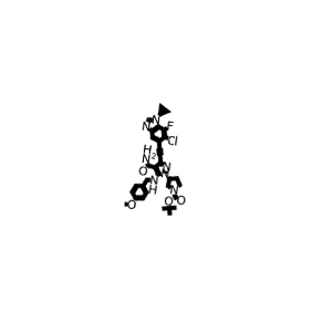 COc1ccc(CNc2c(C(N)=O)c(C#Cc3cc4ncn(C5CC5)c4c(F)c3Cl)nn2C2CCN(C(=O)OC(C)(C)C)C2)cc1